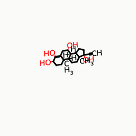 C#C[C@]1(O)CC[C@H]2[C@@H]3[C@@H](O)CC4=C(O)[C@H](O)CC[C@]4(C)[C@H]3CC[C@@]21C